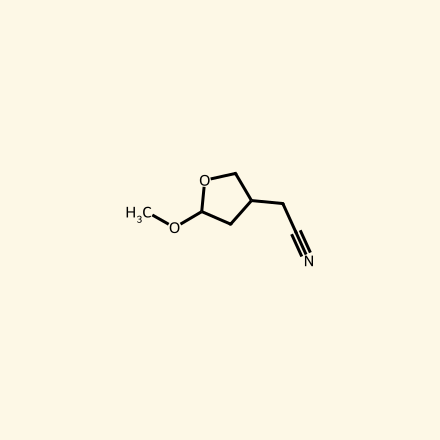 COC1CC(CC#N)CO1